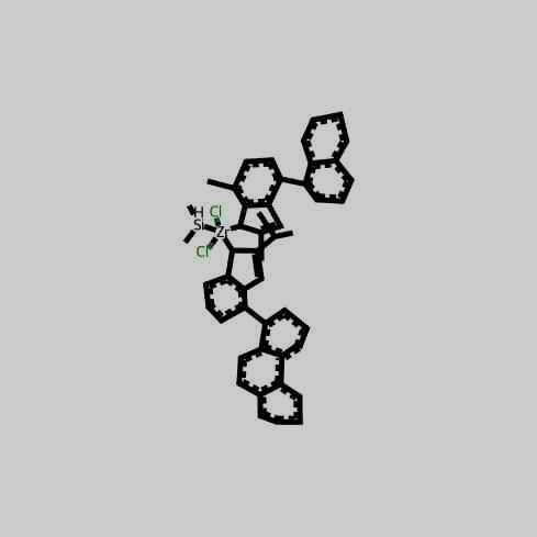 CC1=Cc2c(-c3cccc4ccccc34)ccc(C)c2[CH]1[Zr]([Cl])([Cl])([CH]1C(C(C)C)=Cc2c(-c3cccc4c3ccc3ccccc34)cccc21)[SiH](C)C